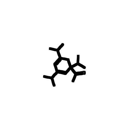 CC(=O)C1(C(C)C)C=C(C(C)C)C=C(C(C)C)C1